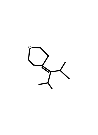 CC(C)C(=C1CCOCC1)C(C)C